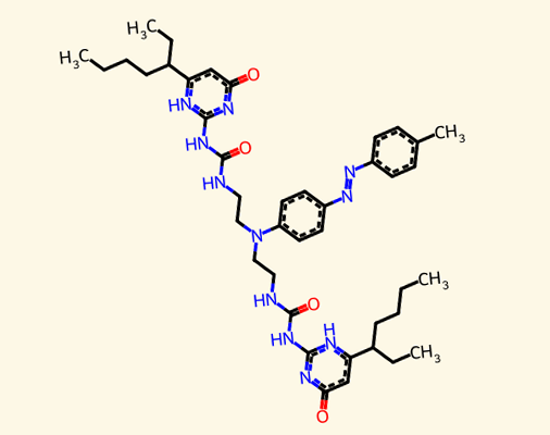 CCCCC(CC)c1cc(=O)nc(NC(=O)NCCN(CCNC(=O)Nc2nc(=O)cc(C(CC)CCCC)[nH]2)c2ccc(/N=N/c3ccc(C)cc3)cc2)[nH]1